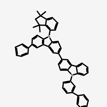 CC1(C)CC(C)(C)c2c(-n3c4ccc(-c5ccccc5)cc4c4cc(-c5ccc6c(c5)c5ccccc5n6-c5cccc(-c6ccccc6)c5)ccc43)cccc21